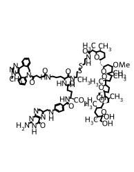 C=C[C@@]1([C@@H]2O[C@@H]([C@@H]3O[C@@](O)(CO)[C@H](C)C[C@@H]3C)C[C@@H]2C)CCC([C@@]2(C)C[C@@H](C)[C@@]3(O[C@H](C[C@H]4CC[C@H](C)C([C@@H](C)C(=O)NCCSSC[C@@H](C)NC(=O)C(CCCNC(=O)CCC(=O)N5Cc6ccccc6-c6nnn(C)c6-c6ccccc65)NC(=O)CC[C@H](NC(=O)c5ccc(NCc6cnc7nc(N)[nH]c(=O)c7n6)cc5)C(=O)O)O4)C[C@@H](OC)[C@H]3C)O2)O1